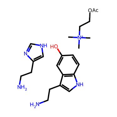 CC(=O)OCC[N+](C)(C)C.NCCc1c[nH]c2ccc(O)cc12.NCCc1c[nH]cn1